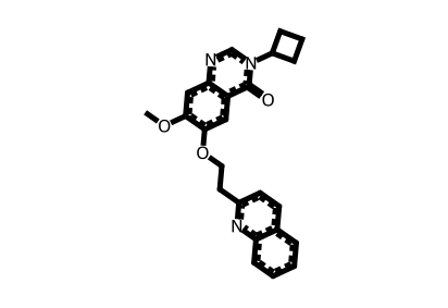 COc1cc2ncn(C3CCC3)c(=O)c2cc1OCCc1ccc2ccccc2n1